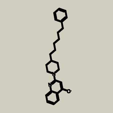 [O]c1cc(N2CCC(CCCCCCc3ccccc3)CC2)nc2ccccc12